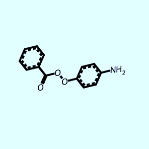 Nc1ccc(OOC(=O)c2ccccc2)cc1